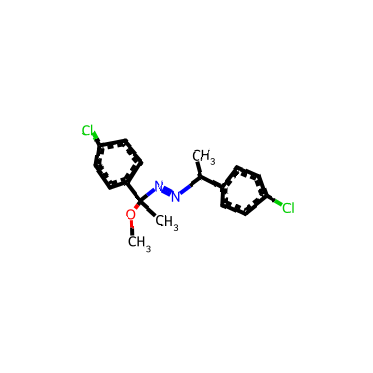 COC(C)(N=NC(C)c1ccc(Cl)cc1)c1ccc(Cl)cc1